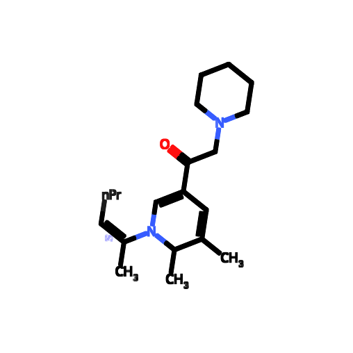 CCC/C=C(/C)N1C=C(C(=O)CN2CCCCC2)C=C(C)C1C